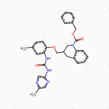 Cc1ccc(OCC2Cc3ccccc3N(C(=O)OCc3ccccc3)C2)c(NC(=O)Nc2cnc(C)cn2)c1